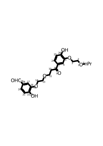 CCCOCCOc1cc(C(=O)CCOCCOc2cc(C=O)ccc2O)ccc1O